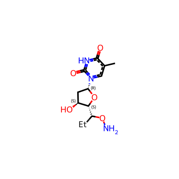 CCC(ON)[C@H]1O[C@@H](n2cc(C)c(=O)[nH]c2=O)C[C@@H]1O